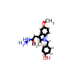 COc1ccc2c(c1)c(CC(=O)NN)c(C)n2Cc1ccc(O)cc1